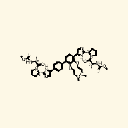 COCCOc1c(-c2ccc(-c3cnc([C@@H]4CCCN4C(=O)[C@H](C)NC(=O)OC)[nH]3)cc2)ccc(-c2cnc([C@@H]3CCCN3C(=O)[C@H](C)NC(=O)OC)[nH]2)c1OCCOC